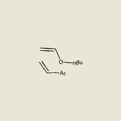 C=CC(C)=O.C=COCCCC